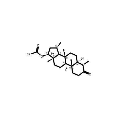 C[C@@H]1C[C@H](OC(=O)C(C)(C)C)[C@@]2(C)CC[C@H]3[C@@H](CC[C@H]4N(C)C(=O)CC[C@]34C)[C@H]12